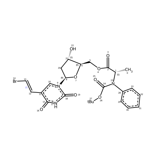 C[C@@H](C(=O)OC[C@H]1O[C@@H](n2cc(/C=C/Br)c(=O)[nH]c2=O)C[C@@H]1O)N(C(=O)OC(C)(C)C)c1ccccc1